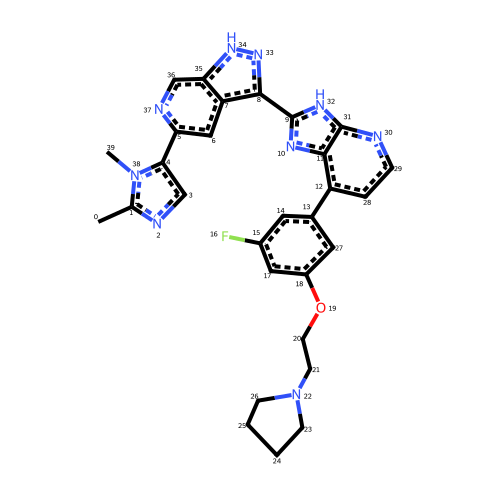 Cc1ncc(-c2cc3c(-c4nc5c(-c6cc(F)cc(OCCN7CCCC7)c6)ccnc5[nH]4)n[nH]c3cn2)n1C